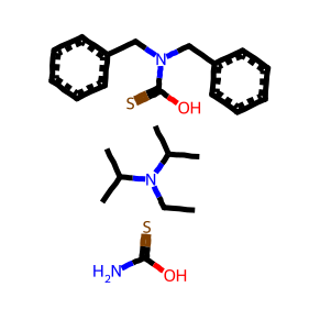 CCN(C(C)C)C(C)C.NC(O)=S.OC(=S)N(Cc1ccccc1)Cc1ccccc1